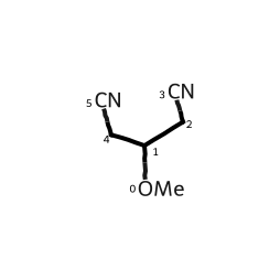 COC(CC#N)CC#N